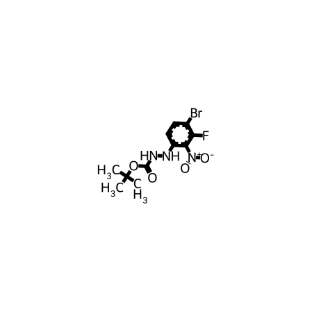 CC(C)(C)OC(=O)NNc1ccc(Br)c(F)c1[N+](=O)[O-]